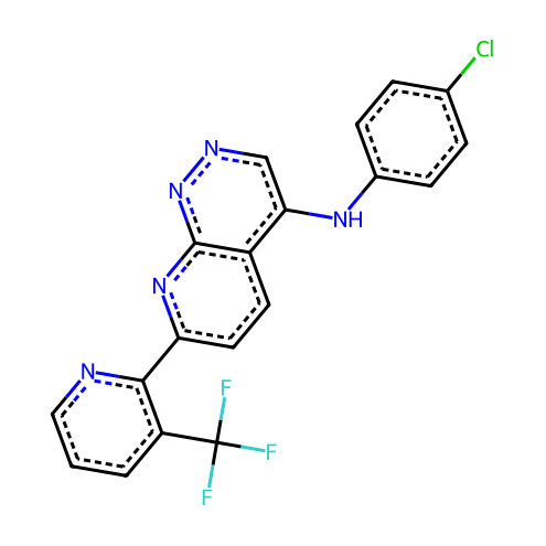 FC(F)(F)c1cccnc1-c1ccc2c(Nc3ccc(Cl)cc3)cnnc2n1